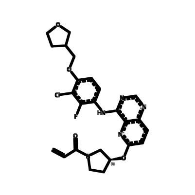 C=CC(=O)N1CC[C@H](Oc2ccc3ncnc(Nc4ccc(OCC5CCOC5)c(Cl)c4F)c3n2)C1